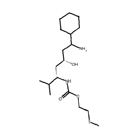 CSCCOC(=O)N[C@@H](C[C@@H](O)CC(N)C1CCCCC1)C(C)C